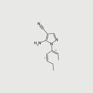 C/C=C(\C=C/CC)n1ncc(C#N)c1N